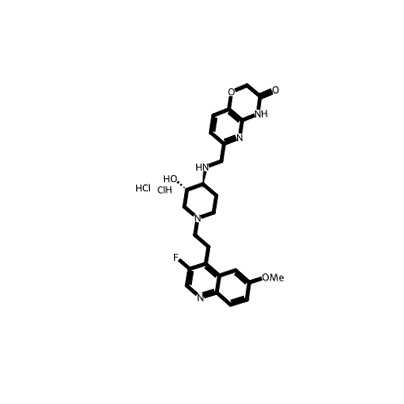 COc1ccc2ncc(F)c(CCN3CC[C@H](NCc4ccc5c(n4)NC(=O)CO5)[C@@H](O)C3)c2c1.Cl.Cl